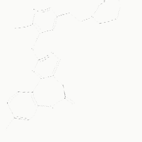 Cc1ccc2c(c1)NC(=S)Cc1cnc(Nc3cc(CCN4CCOCC4)cnc3C)nc1-2